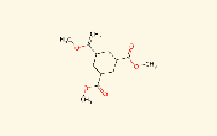 C=C(OC)C1CC(C(=O)OC)CC(C(=O)OC)C1